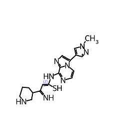 Cn1cc(-c2cnc3c(N/C(S)=C/C(=N)C4CCCNC4)nccn23)cn1